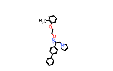 Cc1[c]cccc1OCCO/N=C(\CN1CC=CC1)c1ccc(-c2ccccc2)cc1